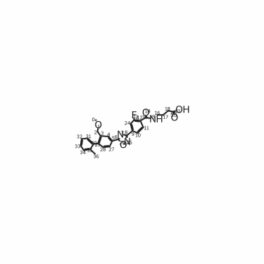 COCc1cc(-c2nc(-c3ccc(C(=O)NCCCC(=O)O)c(F)c3)no2)ccc1-c1ccccc1C